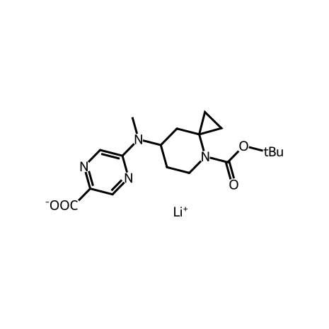 CN(c1cnc(C(=O)[O-])cn1)C1CCN(C(=O)OC(C)(C)C)C2(CC2)C1.[Li+]